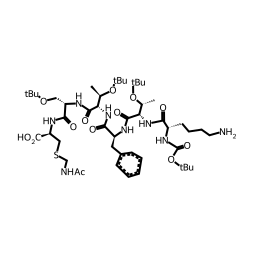 CC(=O)NCSC[C@H](NC(=O)[C@H](COC(C)(C)C)NC(=O)[C@@H](NC(=O)[C@H](Cc1ccccc1)NC(=O)[C@@H](NC(=O)[C@H](CCCCN)NC(=O)OC(C)(C)C)[C@@H](C)OC(C)(C)C)[C@@H](C)OC(C)(C)C)C(=O)O